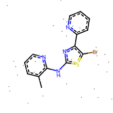 Cc1cccnc1Nc1nc(-c2ccccn2)c(Br)s1